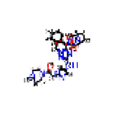 Cc1ccc(CS(=O)(=O)N2C3CCC2CN(c2cccn4nc(Nc5cnn(CC(=O)N6CCN(C)CC6)c5)nc24)C3)cc1